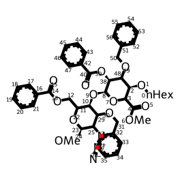 CCCCCCO[C@H]1C(C(=O)OC)O[C@@H](O[C@@H]2C(COC(=O)c3ccccc3)O[C@H](OC)C(N=[N+]=[N-])C2OCc2ccccc2)[C@@H](OC(=O)c2ccccc2)C1OCc1ccccc1